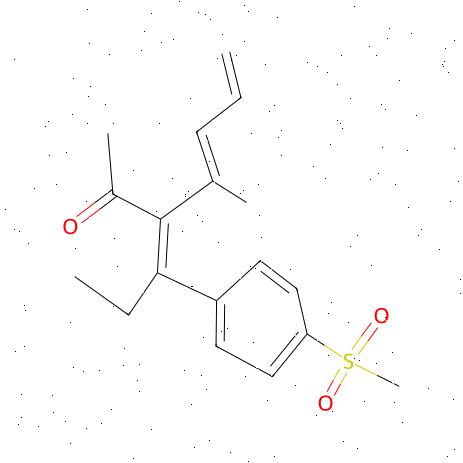 C=C/C=C(C)/C(C(C)=O)=C(/CC)c1ccc(S(C)(=O)=O)cc1